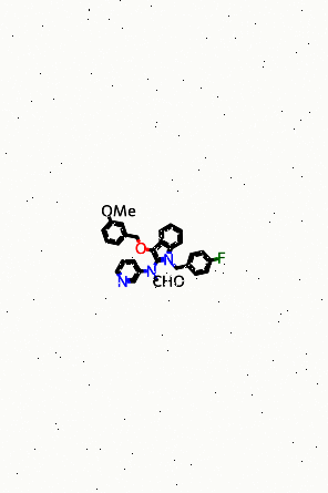 COc1cccc(COc2c(N(C=O)c3cccnc3)n(Cc3ccc(F)cc3)c3ccccc23)c1